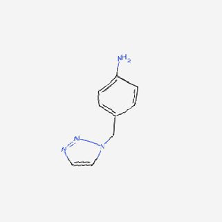 Nc1ccc(Cn2ccnn2)cc1